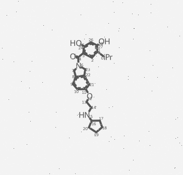 CC(C)c1cc(C(=O)N2Cc3ccc(OCCNC4CCCC4)cc3C2)c(O)cc1O